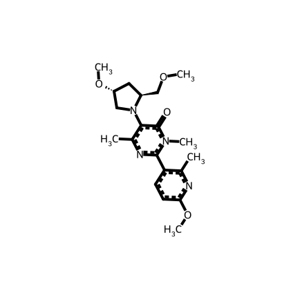 COC[C@@H]1C[C@@H](OC)CN1c1c(C)nc(-c2ccc(OC)nc2C)n(C)c1=O